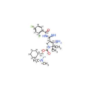 CN(C)C[C@@H](OC(=O)N1CC(C(=N)NC(=O)c2ccc(F)cc2F)=C(N)C1(C)C)C1CCCCC1